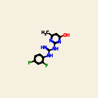 Cc1cc(O)nc(NC(=N)Nc2ccc(F)cc2F)n1